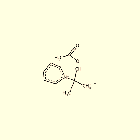 CC(=O)[O-].CC(C)(C)[n+]1ccccc1.Cl